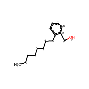 CCCCCCCCc1ccccc1[CH]O